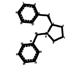 c1ccc(C[C@H]2CCCN2Cc2ccccc2)cc1